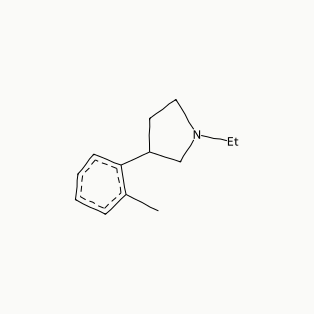 CCN1CCC(c2ccccc2C)C1